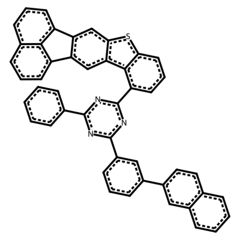 c1ccc(-c2nc(-c3cccc(-c4ccc5ccccc5c4)c3)nc(-c3cccc4sc5cc6c(cc5c34)-c3cccc4cccc-6c34)n2)cc1